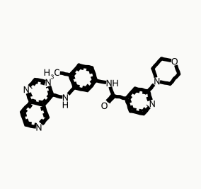 Cc1ccc(NC(=O)c2ccnc(N3CCOCC3)c2)cc1Nc1ncnc2ccncc12